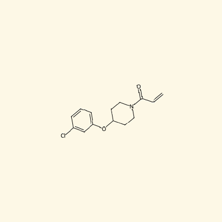 C=CC(=O)N1CCC(Oc2cccc(Cl)c2)CC1